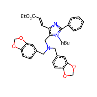 CCCCn1c(-c2ccccc2)nc(/C=C/C(=O)OCC)c1CN(Cc1ccc2c(c1)OCO2)Cc1ccc2c(c1)OCO2